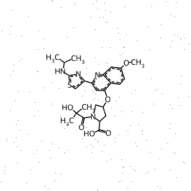 COc1ccc2c(OC3CC(C(=O)O)N(C(=O)C(C)(C)O)C3)cc(-c3csc(NC(C)C)n3)nc2c1